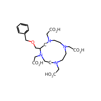 O=C(O)CN1CCN(CC(=O)O)CCN(CC(=O)O)C(COCc2ccccc2)CN(CC(=O)O)CC1